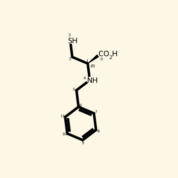 O=C(O)[C@H](CS)NCc1ccccc1